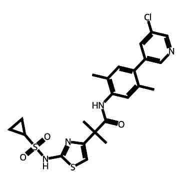 Cc1cc(-c2cncc(Cl)c2)c(C)cc1NC(=O)C(C)(C)c1csc(NS(=O)(=O)C2CC2)n1